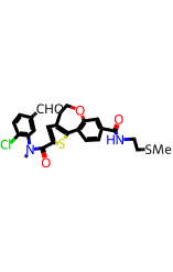 CSCCNC(=O)c1ccc2c(c1)OCCc1cc(C(=O)N(C)c3cc(C=O)ccc3Cl)sc1-2